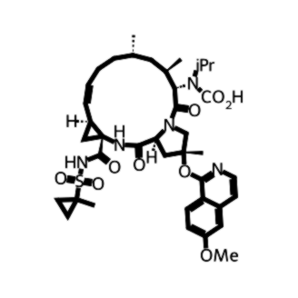 COc1ccc2c(O[C@]3(C)C[C@H]4C(=O)N[C@]5(C(=O)NS(=O)(=O)C6(C)CC6)C[C@H]5/C=C\CC[C@H](C)C[C@@H](C)[C@H](N(C(=O)O)C(C)C)C(=O)N4C3)nccc2c1